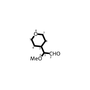 COC(C=O)C1CCOCC1